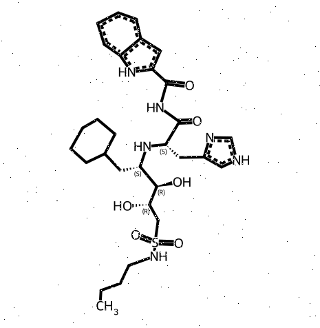 CCCCNS(=O)(=O)C[C@H](O)[C@H](O)[C@H](CC1CCCCC1)N[C@@H](Cc1c[nH]cn1)C(=O)NC(=O)c1cc2ccccc2[nH]1